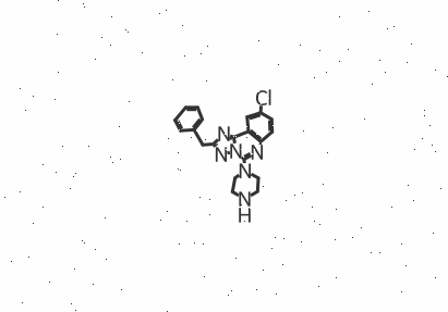 Clc1ccc2nc(N3CCNCC3)n3nc(Cc4ccccc4)nc3c2c1